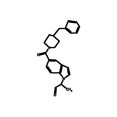 CC(C=O)n1ccc2cc(C(=O)N3CCC(Cc4ccccc4)CC3)ccc21